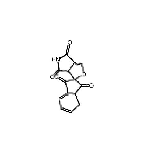 O=C1NC(=O)C2C1=COC21C(=O)C2=CC=CCC2C1=O